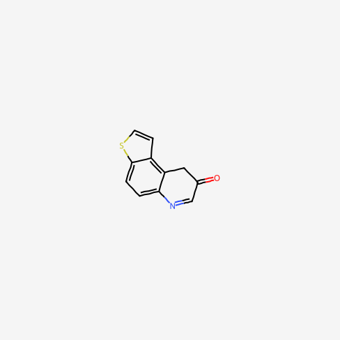 O=C1C=Nc2ccc3sccc3c2C1